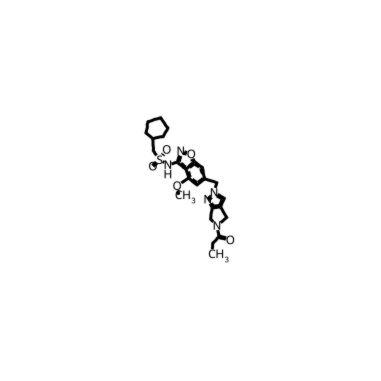 CCC(=O)N1Cc2cn(Cc3cc(OC)c4c(NS(=O)(=O)CC5CCCCC5)noc4c3)nc2C1